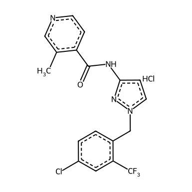 Cc1cnccc1C(=O)Nc1ccn(Cc2ccc(Cl)cc2C(F)(F)F)n1.Cl